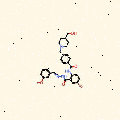 COc1cccc(C=NNC(=O)c2cc(Br)ccc2NC(=O)c2ccc(CN3CCC(CO)CC3)cc2)c1